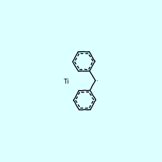 [CH](c1ccccc1)c1ccccc1.[Ti]